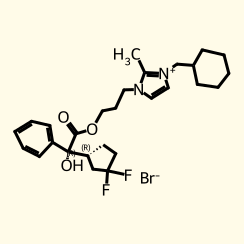 Cc1n(CCCOC(=O)[C@](O)(c2ccccc2)[C@@H]2CCC(F)(F)C2)cc[n+]1CC1CCCCC1.[Br-]